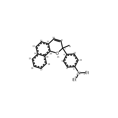 CCN(CC)c1ccc(C2(C)C=Cc3ccc4ccccc4c3O2)cc1